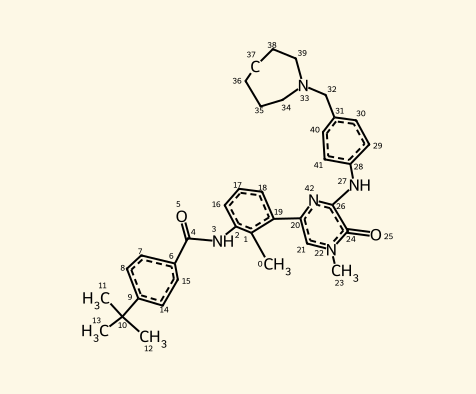 Cc1c(NC(=O)c2ccc(C(C)(C)C)cc2)cccc1-c1cn(C)c(=O)c(Nc2ccc(CN3CCCCCC3)cc2)n1